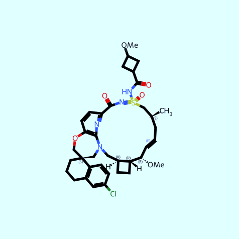 COC1CC(C(=O)NS2(=O)=NC(=O)c3ccc4c(n3)N(C[C@@H]3CC[C@H]3[C@@H](OC)/C=C/C[C@H](C)C2)C[C@@]2(CCCc3cc(Cl)ccc32)CO4)C1